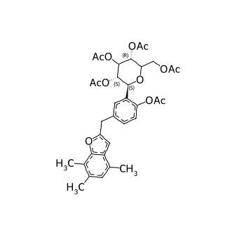 CC(=O)OCC1O[C@@H](c2cc(Cc3cc4c(C)cc(C)c(C)c4o3)ccc2OC(C)=O)[C@H](OC(C)=O)C(OC(C)=O)[C@@H]1OC(C)=O